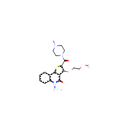 CCCCn1c(=O)c2c(OCCOCC)c(C(=O)N3CCN(C)CC3)sc2c2ccccc21